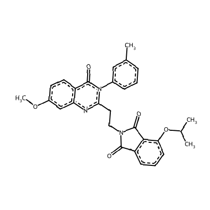 COc1ccc2c(=O)n(-c3cccc(C)c3)c(CCN3C(=O)c4cccc(OC(C)C)c4C3=O)nc2c1